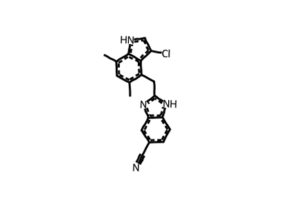 Cc1cc(C)c2[nH]cc(Cl)c2c1Cc1nc2cc(C#N)ccc2[nH]1